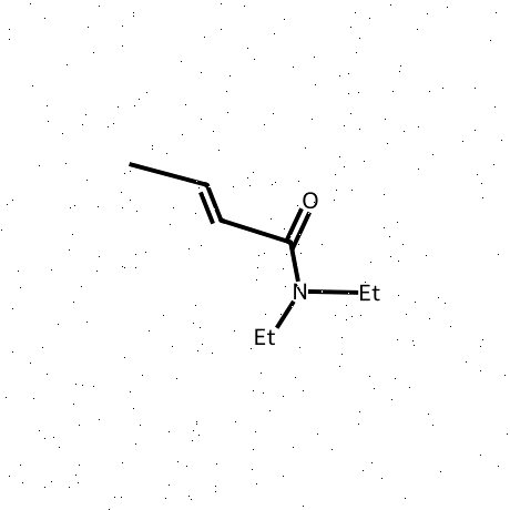 C/C=C/C(=O)N(CC)CC